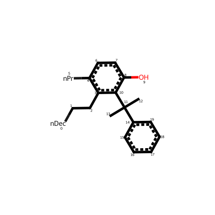 CCCCCCCCCCCCc1c(CCC)ccc(O)c1C(C)(C)c1ccccc1